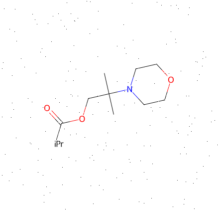 CC(C)C(=O)OCC(C)(C)N1CCOCC1